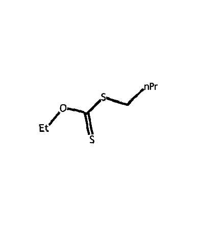 CCCCSC(=S)OCC